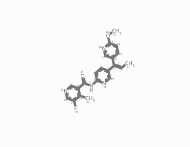 C/C=C(/c1ccc(NC(=O)c2cncc(F)c2C)nc1)c1ccc(OC)nc1